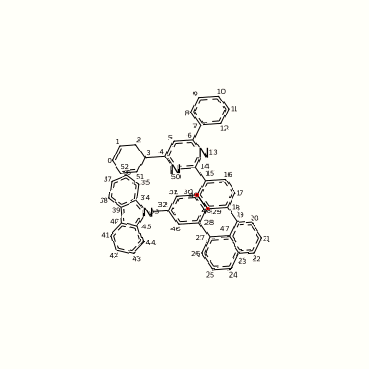 C1=CCC(c2cc(-c3ccccc3)nc(-c3ccc(-c4cccc5cccc(-c6cccc(-n7c8ccccc8c8ccccc87)c6)c45)cc3)n2)C=C1